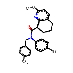 COc1ccc2c(n1)C(C(=O)N(Cc1ccc(C(F)(F)F)cc1)c1ccc(C(C)C)cc1)CCC2